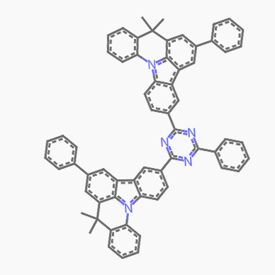 CC1(C)c2ccccc2-n2c3ccc(-c4nc(-c5ccccc5)nc(-c5ccc6c(c5)c5cc(-c7ccccc7)cc7c5n6-c5ccccc5C7(C)C)n4)cc3c3cc(-c4ccccc4)cc1c32